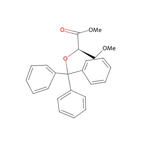 COC[C@@H](OC(c1ccccc1)(c1ccccc1)c1ccccc1)C(=O)OC